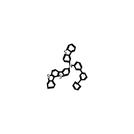 c1ccc(-c2cccc(-c3cccc(N(c4ccc5sc6ccccc6c5c4)c4ccc5sc6c(ccc7sc8ccccc8c76)c5c4)c3)c2)cc1